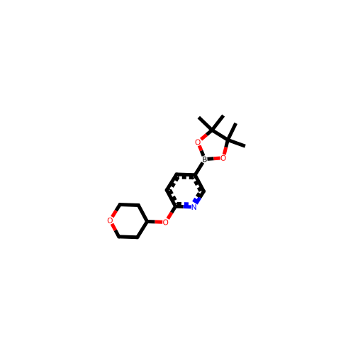 CC1(C)OB(c2ccc(OC3CCOCC3)nc2)OC1(C)C